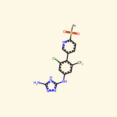 CC(C)S(=O)(=O)c1ccc(-c2c(Cl)cc(Nc3nnc(N)[nH]3)cc2C(F)(F)F)cn1